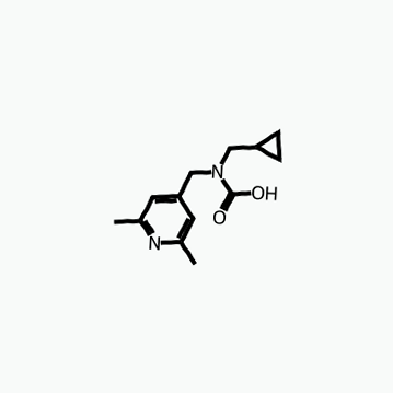 Cc1cc(CN(CC2CC2)C(=O)O)cc(C)n1